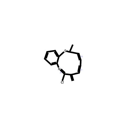 C=C1/C=C\C=C/C(C)Sc2ccccc2/N=C\1Cl